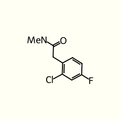 CNC(=O)Cc1ccc(F)cc1Cl